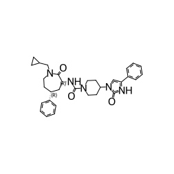 O=C(N[C@@H]1C[C@H](c2ccccc2)CCN(CC2CC2)C1=O)N1CCC(n2cc(-c3ccccc3)[nH]c2=O)CC1